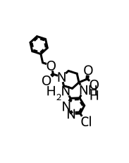 Nc1nnc(Cl)cc1NC1(C(=O)O)CCN(C(=O)OCc2ccccc2)CC1